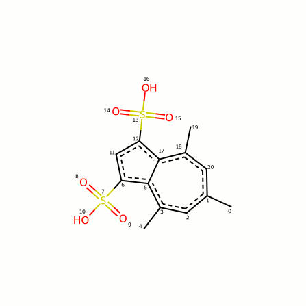 Cc1cc(C)c2c(S(=O)(=O)O)cc(S(=O)(=O)O)c-2c(C)c1